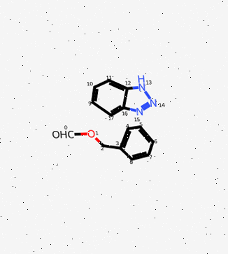 O=COCc1ccccc1.c1ccc2[nH]nnc2c1